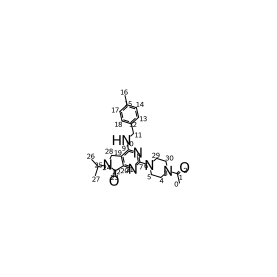 CC(=O)N1CCN(c2nc(NCc3ccc(C)cc3)c3c(n2)C(=O)N(C(C)C)C3)CC1